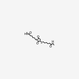 CNC(=O)CCCCCSC1CC(=O)N(CCCCCC(=O)NC)C1=O